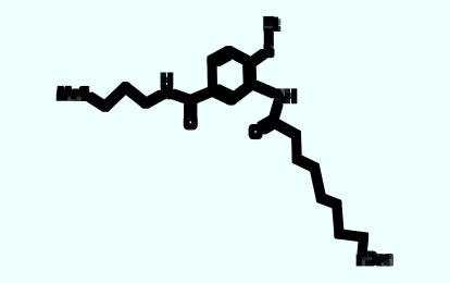 CCCCCCCCCCCCCCCCCC(=O)Nc1cc(C(=O)NCCCSC)ccc1SCC